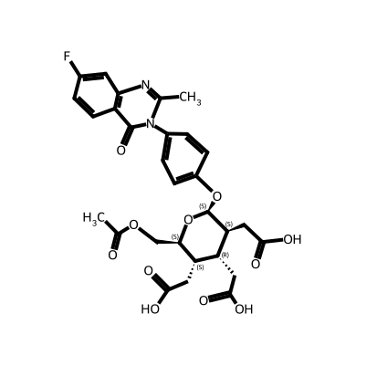 CC(=O)OC[C@H]1O[C@@H](Oc2ccc(-n3c(C)nc4cc(F)ccc4c3=O)cc2)[C@@H](CC(=O)O)[C@H](CC(=O)O)[C@@H]1CC(=O)O